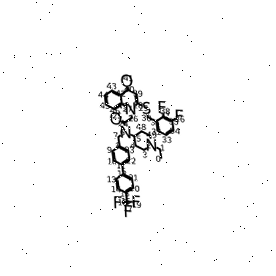 CCN1CCC(N(Cc2ccc(-c3ccc(C(F)(F)F)cc3)cc2)C(=O)Cn2c(SCc3cccc(F)c3F)cc(=O)c3ccccc32)CC1